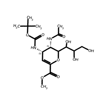 COC(=O)C1=C[C@H](NC(=O)OC(C)(C)C)[C@H](NC(C)=O)C(C(O)C(O)CO)O1